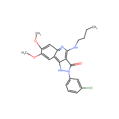 CCCCNc1nc2cc(OC)c(OC)cc2c2[nH]n(-c3cccc(Cl)c3)c(=O)c12